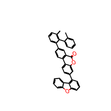 Cc1ccccc1-c1c(C)cccc1-c1ccc2c(c1)c(=O)oc1cc(-c3cccc4oc5ccccc5c34)ccc12